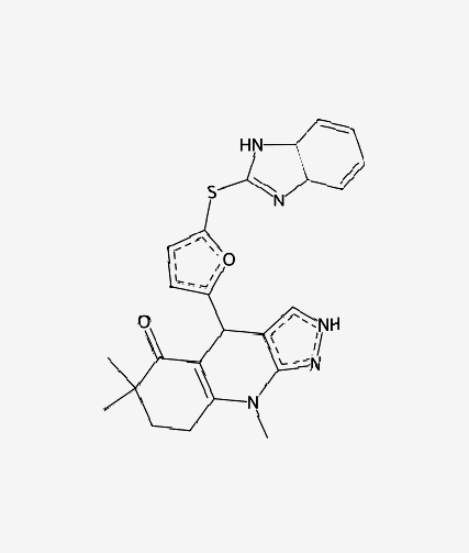 CN1C2=C(C(=O)C(C)(C)CC2)C(c2ccc(SC3=NC4C=CC=CC4N3)o2)c2c[nH]nc21